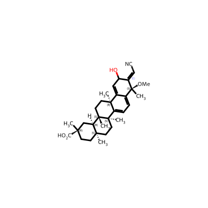 CO[C@@]1(C)C2=CC=C3[C@@](C)(CC[C@@]4(C)[C@@H]5C[C@](C)(C(=O)O)CC[C@]5(C)CC[C@]34C)C2=CC(O)/C1=C\C#N